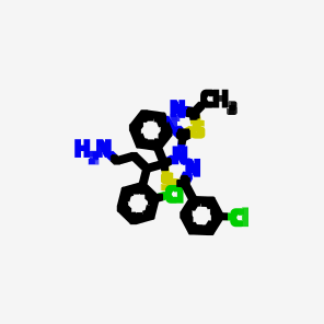 Cc1nnc(N2N=C(c3cccc(Cl)c3)SC2(c2ccccc2)C(CCN)c2ccccc2Cl)s1